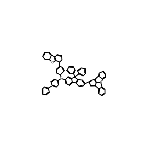 C1=Cc2c(oc3ccccc23)C(C2=CCC(N(c3ccc(-c4ccccc4)cc3)c3ccc4c(c3)C(c3ccccc3)(c3ccccc3)c3cc(-c5cc6c7ccccc7n7c8ccccc8c(c5)c67)ccc3-4)C=C2)C1